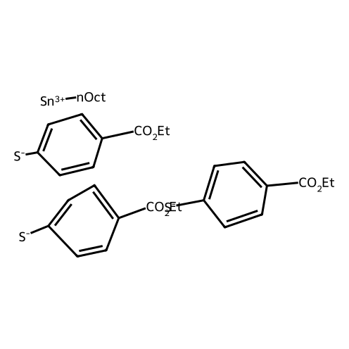 CCCCCCC[CH2][Sn+3].CCOC(=O)c1ccc([S-])cc1.CCOC(=O)c1ccc([S-])cc1.CCOC(=O)c1ccc([S-])cc1